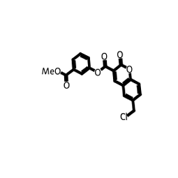 COC(=O)c1cccc(OC(=O)c2cc3cc(CCl)ccc3oc2=O)c1